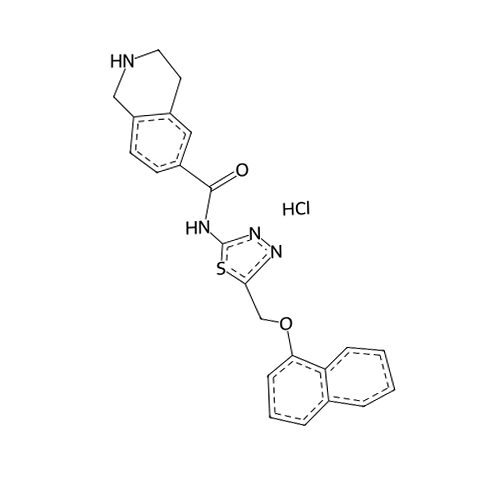 Cl.O=C(Nc1nnc(COc2cccc3ccccc23)s1)c1ccc2c(c1)CCNC2